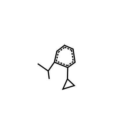 CC(C)c1c[c]ccc1C1CC1